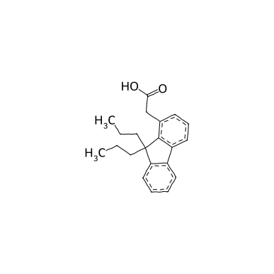 CCCC1(CCC)c2ccccc2-c2cccc(CC(=O)O)c21